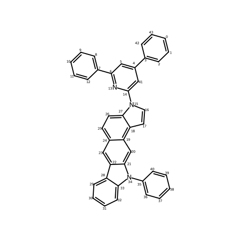 c1ccc(-c2cc(-c3ccccc3)nc(-n3ccc4c5cc6c(cc5ccc43)c3ccccc3n6-c3ccccc3)c2)cc1